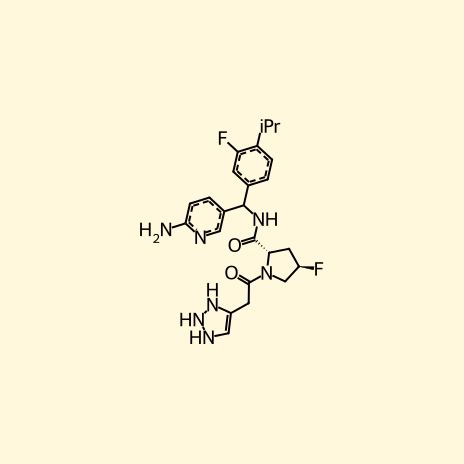 CC(C)c1ccc(C(NC(=O)[C@@H]2C[C@@H](F)CN2C(=O)CC2=CNNN2)c2ccc(N)nc2)cc1F